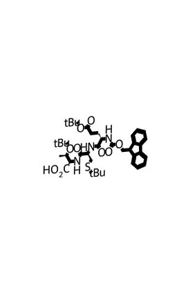 C[C@@H](OC(C)(C)C)[C@H](NC(=O)[C@H](CSC(C)(C)C)NC(=O)[C@H](CCC(=O)OC(C)(C)C)NC(=O)OCC1c2ccccc2-c2ccccc21)C(=O)O